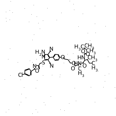 CC[C@H](C)[C@H](NC(=O)OC(C)(C)C)C(=O)N[C@@H](C)C(=O)OC[CH]COc1ccc(-c2c(C#N)c(N)nc(SCc3coc(-c4ccc(Cl)cc4)n3)c2C#N)cc1